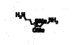 C[O][Ti]([CH2]CCN)([CH2]CCN)[O]C